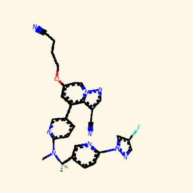 C[C@@H](c1ccc(-n2cc(F)cn2)nc1)N(C)c1ccc(-c2cc(OCCCC#N)cn3ncc(C#N)c23)cn1